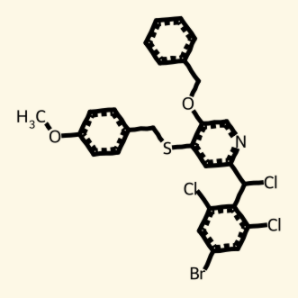 COc1ccc(CSc2cc(C(Cl)c3c(Cl)cc(Br)cc3Cl)ncc2OCc2ccccc2)cc1